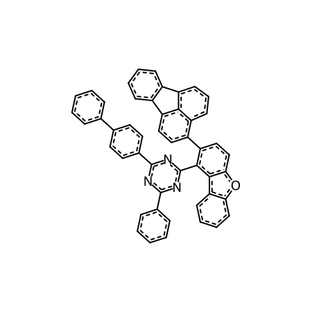 c1ccc(-c2ccc(-c3nc(-c4ccccc4)nc(-c4c(-c5ccc6c7c(cccc57)-c5ccccc5-6)ccc5oc6ccccc6c45)n3)cc2)cc1